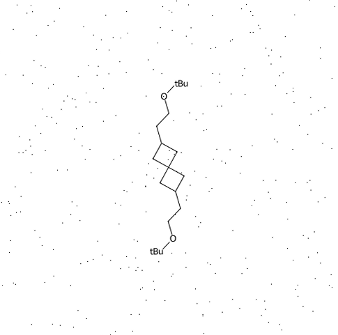 CC(C)(C)OCCC1CC2(C1)CC(CCOC(C)(C)C)C2